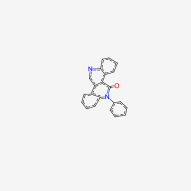 O=c1c2c3ccccc3ncc2c2ccccc2n1-c1ccccc1